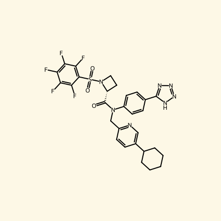 O=C([C@H]1CCN1S(=O)(=O)c1c(F)c(F)c(F)c(F)c1F)N(Cc1ccc(C2CCCCC2)cn1)c1ccc(-c2nnn[nH]2)cc1